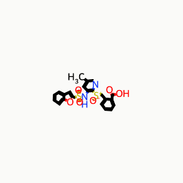 Cc1cnc([S+]([O-])Cc2ccccc2C(=O)O)c(NS(=O)(=O)c2cc3ccccc3o2)c1